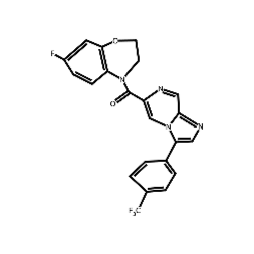 O=C(c1cn2c(-c3ccc(C(F)(F)F)cc3)cnc2cn1)N1CCOc2cc(F)ccc21